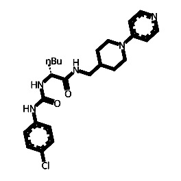 CCCC[C@@H](NC(=O)Nc1ccc(Cl)cc1)C(=O)NCC1CCN(c2ccncc2)CC1